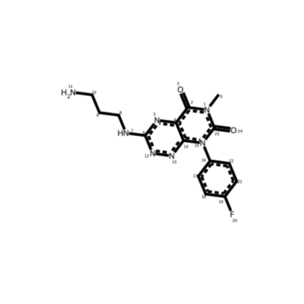 Cn1c(=O)c2nc(NCCCN)nnc2n(-c2ccc(F)cc2)c1=O